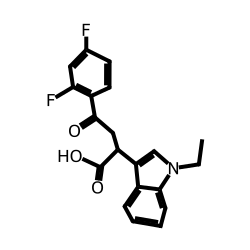 CCn1cc(C(CC(=O)c2ccc(F)cc2F)C(=O)O)c2ccccc21